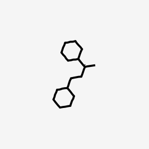 C[C](CCC1CCCCC1)C1CCCCC1